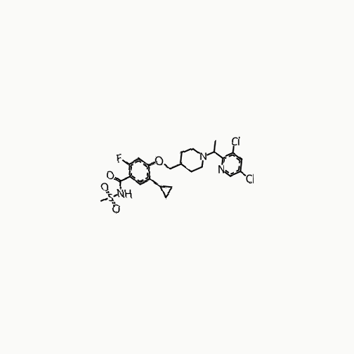 CC(c1ncc(Cl)cc1Cl)N1CCC(COc2cc(F)c(C(=O)NS(C)(=O)=O)cc2C2CC2)CC1